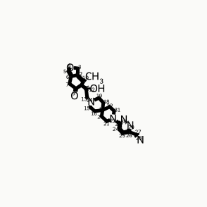 CC1=C2COC=C2CC(=O)C1[C@@H](O)CN1CCC2(CC1)CCN(c1ccc(C#N)nn1)CC2